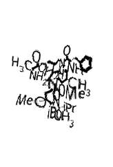 C=C(N[C@@H](Cc1ccccc1)C(=O)NCCCOC(=O)[C@H](C)N)[C@H](C)[C@@H](OC)[C@@H]1CCCN1C(=O)C[C@@H](OC)[C@@H](N[C@@H](C)C(C)C)[C@@H](C)CC